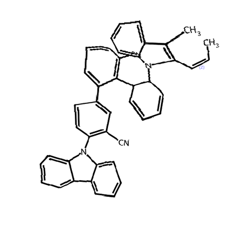 C/C=C\c1c(C)c2ccccc2n1C1C=CC=CC1c1c(C#N)cccc1-c1ccc(-n2c3ccccc3c3ccccc32)c(C#N)c1